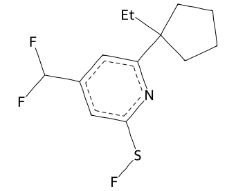 CCC1(c2cc(C(F)F)cc(SF)n2)CCCC1